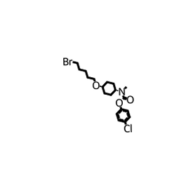 CN(C(=O)Oc1ccc(Cl)cc1)[C@H]1CC[C@H](OCCCCCBr)CC1